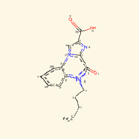 CCCCn1c(=O)c2nc(C(=O)O)cn2c2ccccc21